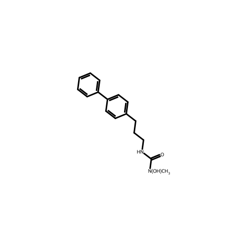 CN(O)C(=O)NCCCc1ccc(-c2ccccc2)cc1